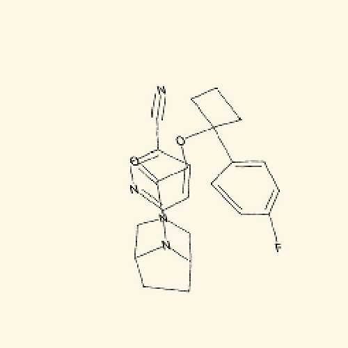 N#Cc1ccc(N2C3CCC2CN(C(=O)COC2(c4ccc(F)cc4)CCC2)C3)nc1